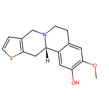 COc1cc2c(cc1O)[C@@H]1Cc3sccc3CN1CC2